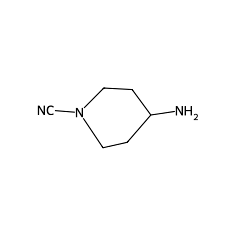 N#CN1CCC(N)CC1